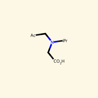 CC(=O)CN(CC(=O)O)C(C)C